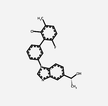 Cc1ccc(F)c(-c2cccc(-n3cnc4cc([C@@H](C)O)ccc43)c2)c1Cl